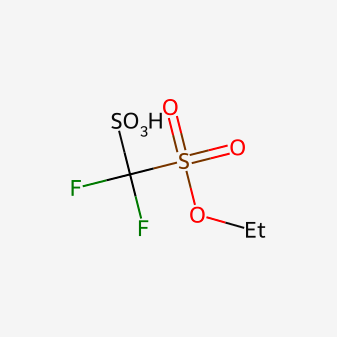 CCOS(=O)(=O)C(F)(F)S(=O)(=O)O